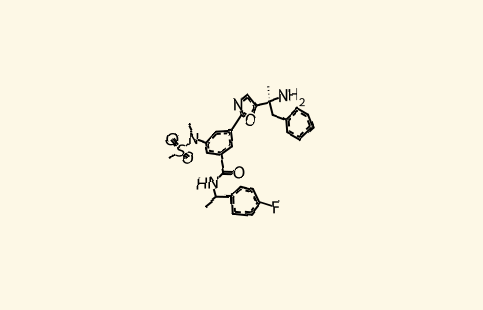 CC(NC(=O)c1cc(-c2ncc([C@@](C)(N)Cc3ccccc3)o2)cc(N(C)S(C)(=O)=O)c1)c1ccc(F)cc1